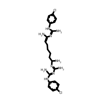 NC(=CCCCCC(N)N=C(N)N=C(N)Nc1ccc(Cl)cc1)N=C(N)Nc1ccc(Cl)cc1